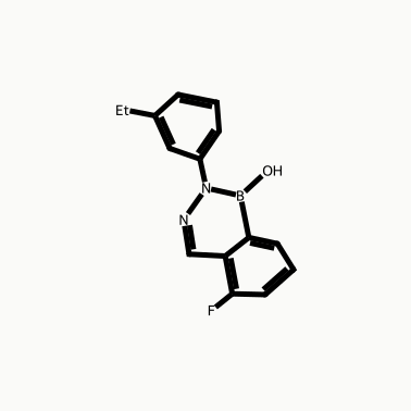 CCc1cccc(N2N=Cc3c(F)cccc3B2O)c1